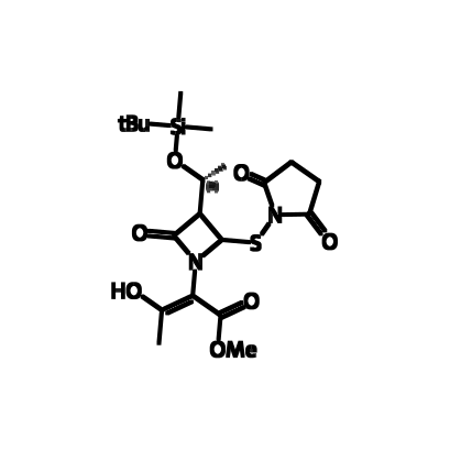 COC(=O)C(=C(C)O)N1C(=O)C([C@@H](C)O[Si](C)(C)C(C)(C)C)C1SN1C(=O)CCC1=O